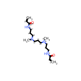 C=CC(=O)NCCCN(C)CCCN(C)CCCNC(=O)C=C